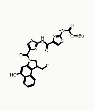 CC(C)(C)OC(=O)Nc1nc(C(=O)Nc2nc(C(=O)N3CC(CCl)c4c3cc(O)c3ccccc43)cs2)cs1